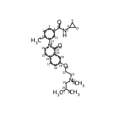 Cc1ccc(C(=O)NC2CC2)cc1-n1ccc2ccc(OCCN(C)CC(C)C)cc2c1=O